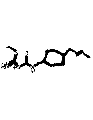 CCCCC1CCC(NC(=O)NC(=N)SC)CC1